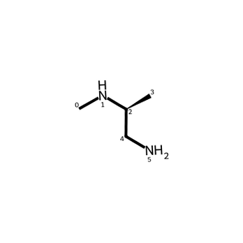 CN[C@@H](C)CN